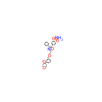 COC1(c2cccc(COCCc3nc(-c4ccccc4)c(-c4ccc(S(N)(=O)=O)cc4)o3)c2)CCOCC1